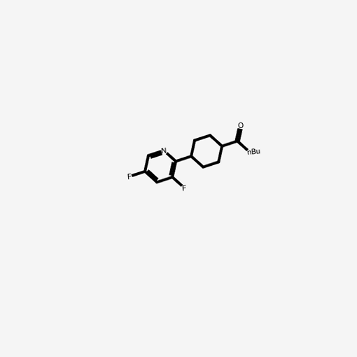 CCCCC(=O)C1CCC(c2ncc(F)cc2F)CC1